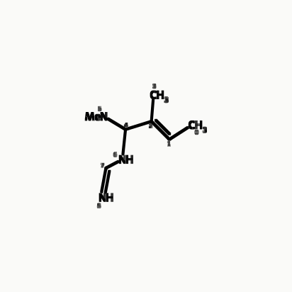 C/C=C(\C)C(NC)NC=N